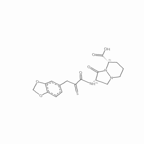 O=C(N[C@H]1CN2CCC[C@@H](C(=O)O)N2C1=O)C(=S)Cc1ccc2c(c1)OCO2